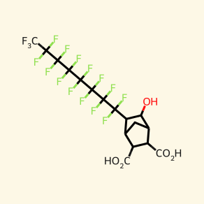 O=C(O)C1C2CC(C1C(=O)O)C(C(F)(F)C(F)(F)C(F)(F)C(F)(F)C(F)(F)C(F)(F)C(F)(F)C(F)(F)F)C2O